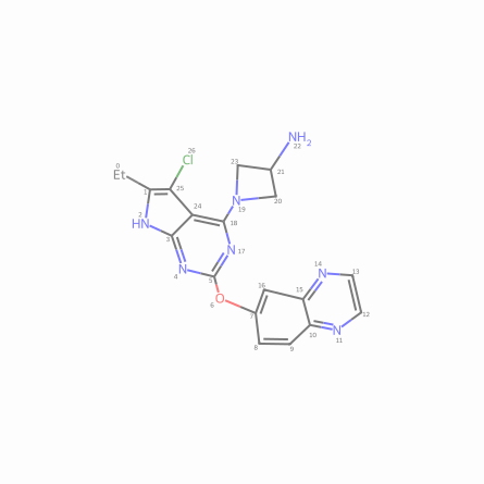 CCc1[nH]c2nc(Oc3ccc4nccnc4c3)nc(N3CC(N)C3)c2c1Cl